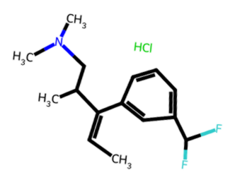 C/C=C(\c1cccc(C(F)F)c1)C(C)CN(C)C.Cl